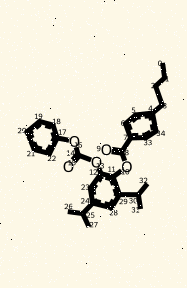 CCCCc1ccc(C(=O)Oc2c(OC(=O)Oc3ccccc3)cc(C(C)C)cc2C(C)C)cc1